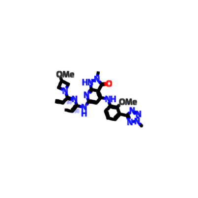 C=C/C(=N\C(=C/C)Nc1cc(Nc2cccc(-c3nnn(C)n3)c2OC)c2c(=O)n(C)[nH]c2n1)N1CC(OC)C1